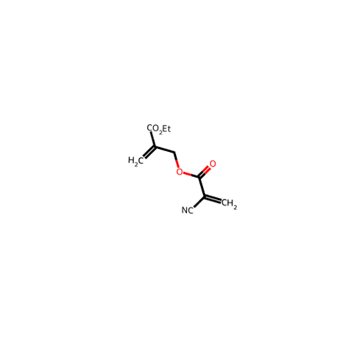 C=C(C#N)C(=O)OCC(=C)C(=O)OCC